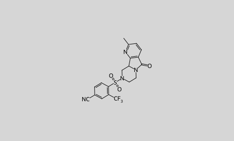 Cc1ccc2c(n1)C1CN(S(=O)(=O)c3ccc(C#N)cc3C(F)(F)F)CCN1C2=O